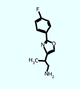 CC(CN)c1coc(-c2ccc(F)cc2)n1